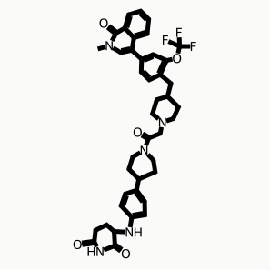 Cn1cc(-c2ccc(CC3CCN(CC(=O)N4CCC(c5ccc(NC6CCC(=O)NC6=O)cc5)CC4)CC3)c(OC(F)(F)F)c2)c2ccccc2c1=O